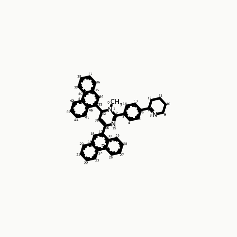 CN1C(c2ccc(C3=NCCCC3)cc2)=NC(c2cc3ccccc3c3ccccc23)=CC1c1cc2ccccc2c2ccccc12